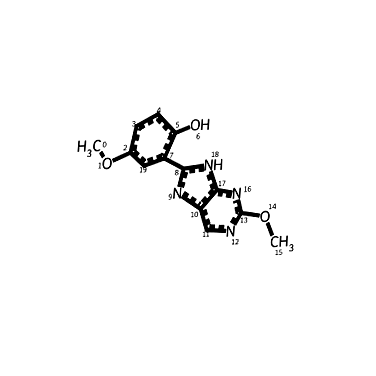 COc1ccc(O)c(-c2nc3cnc(OC)nc3[nH]2)c1